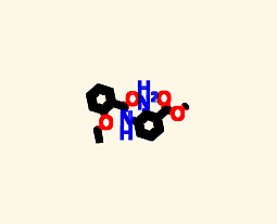 CCOc1ccccc1C(=O)Nc1cccc(C(=O)OC)c1N